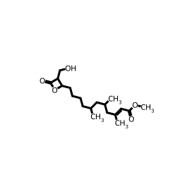 COC(=O)C=C(C)CC(C)CC(C)CCCCC1OC(=O)C1CO